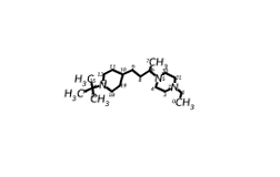 CCN1CCN(C(C)CCC2CCN(C(C)(C)C)CC2)CC1